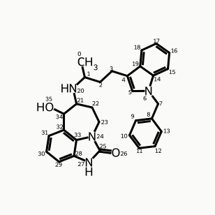 CC(CCc1cn(Cc2ccccc2)c2ccccc12)NC1CCn2c(=O)[nH]c3cccc(c32)C1O